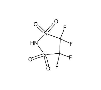 O=S1(=O)NS(=O)(=O)C(F)(F)C1(F)F